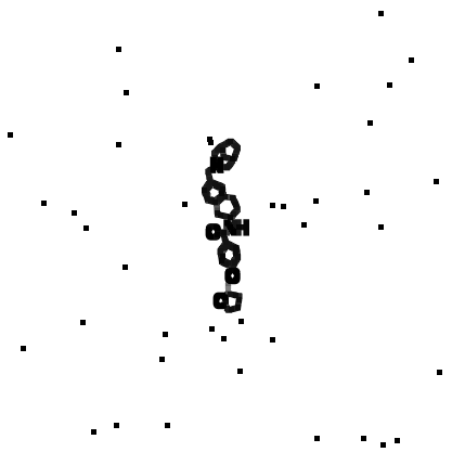 O=C(N[C@H]1CCc2cc(CN3CC4CCC(C4)C3)ccc2C1)c1ccc(OC[C@@H]2CCCO2)cc1